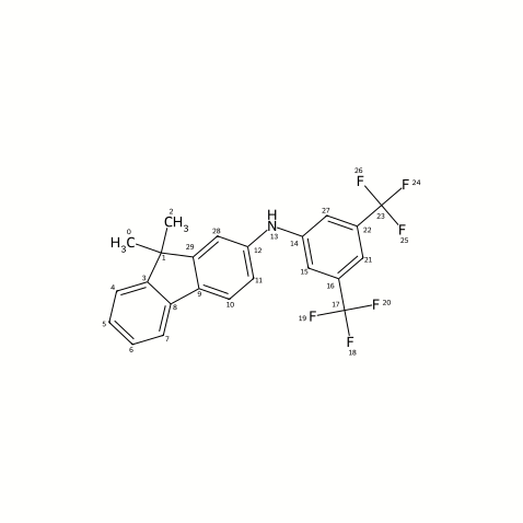 CC1(C)c2ccccc2-c2ccc(Nc3cc(C(F)(F)F)cc(C(F)(F)F)c3)cc21